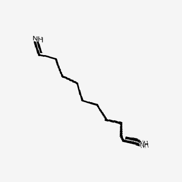 N=CCCCCCCCC=N